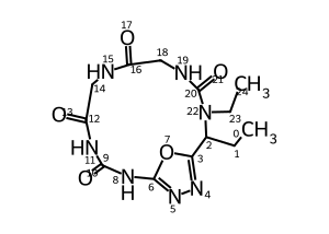 CCC1c2nnc(o2)NC(=O)NC(=O)CNC(=O)CNC(=O)N1CC